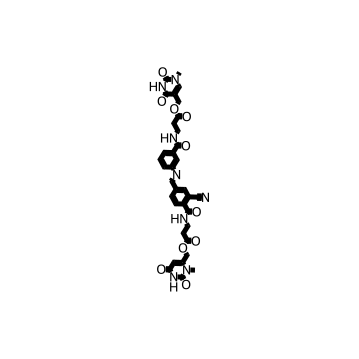 Cn1cc(COC(=O)CCNC(=O)c2cccc(/N=C/c3ccc(C(=O)NCCC(=O)OCc4cc(=O)[nH]c(=O)n4C)c(C#N)c3)c2)c(=O)[nH]c1=O